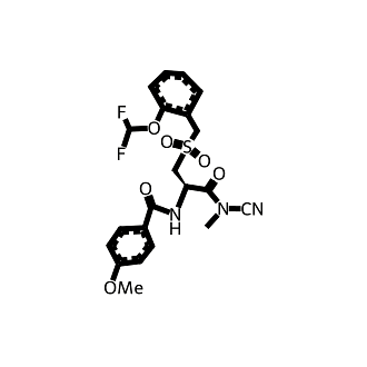 COc1ccc(C(=O)N[C@@H](CS(=O)(=O)Cc2ccccc2OC(F)F)C(=O)N(C)C#N)cc1